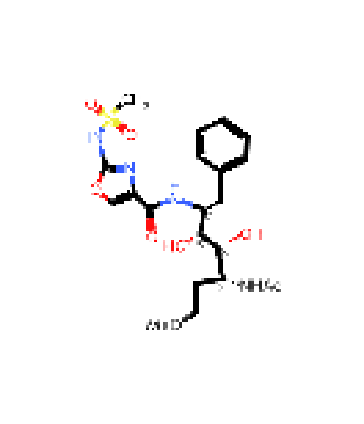 COCC[C@@H](NC(C)=O)[C@@H](O)[C@H](O)[C@H](Cc1ccccc1)NC(=O)c1coc(NS(C)(=O)=O)n1